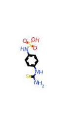 NC(=S)Nc1ccc(NS(=O)(=O)O)cc1